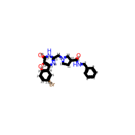 O=C(NCc1ccccc1)C1CCN(Cc2nc3c(oc4ccc(Br)cc43)c(=O)[nH]2)C1